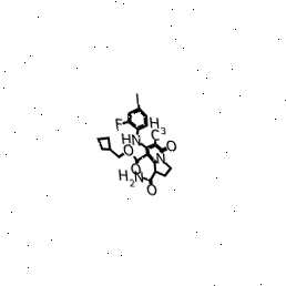 Cc1c(Nc2ccc(I)cc2F)c(C(=O)OCC2CCC2)c2n(c1=O)CCC2C(N)=O